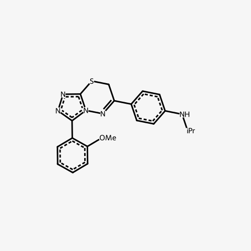 COc1ccccc1-c1nnc2n1N=C(c1ccc(NC(C)C)cc1)CS2